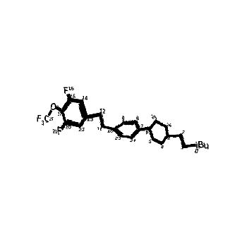 CCC(C)CCC1CCC(c2ccc(CCc3cc(F)c(OC(F)(F)F)c(F)c3)cc2)CC1